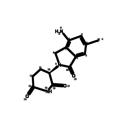 Nc1cc(F)cc2c1CN([C@@H]1CCC(=O)NC1=O)C2=O